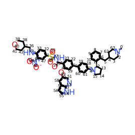 CN1CCC(Cc2ccccc2[C@H]2CCCN2c2ccc(-c3ccc(C(=O)NS(=O)(=O)c4ccc(NCC5CCOCC5)c([N+](=O)[O-])c4)c(Oc4cnc5[nH]ccc5c4)c3)cc2)CC1